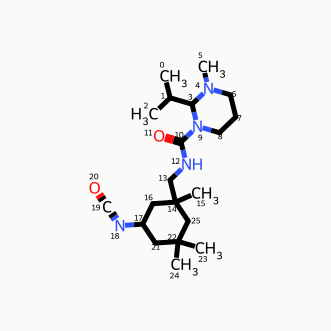 CC(C)C1N(C)CCCN1C(=O)NCC1(C)CC(N=C=O)CC(C)(C)C1